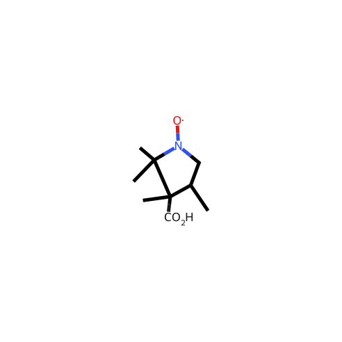 CC1CN([O])C(C)(C)C1(C)C(=O)O